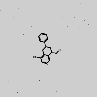 NC[C@@H]1C[C@H](c2ccccc2)Cc2c(O)cccc21